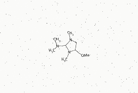 COC1CN(C)C(N(C)C)N1C